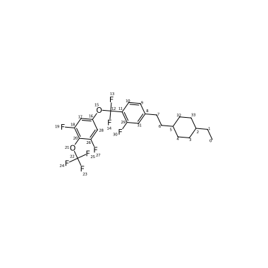 CCC1CCC(CCc2ccc(C(F)(F)Oc3cc(F)c(OC(F)(F)F)c(F)c3)c(F)c2)CC1